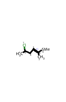 CS/C(C)=C/CC(C)Cl